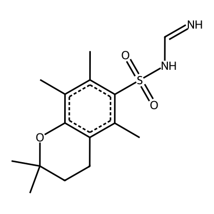 Cc1c(C)c(S(=O)(=O)NC=N)c(C)c2c1OC(C)(C)CC2